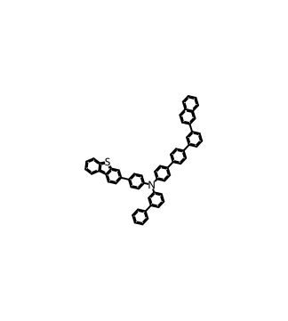 c1ccc(-c2cccc(N(c3ccc(-c4ccc(-c5cccc(-c6ccc7ccccc7c6)c5)cc4)cc3)c3ccc(-c4ccc5c(c4)sc4ccccc45)cc3)c2)cc1